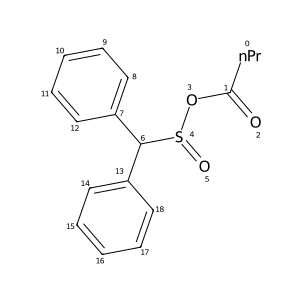 CCCC(=O)OS(=O)C(c1ccccc1)c1ccccc1